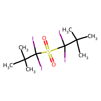 CC(C)(C)C(I)(I)S(=O)(=O)C(I)(I)C(C)(C)C